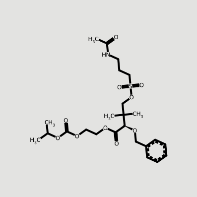 CC(=O)NCCCS(=O)(=O)OCC(C)(C)[C@@H](OCc1ccccc1)C(=O)OCCOC(=O)OC(C)C